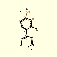 C/C=C\C(=C/C)c1ccc(S)cc1C